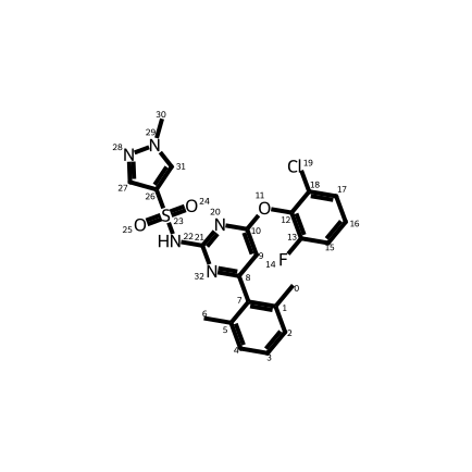 Cc1cccc(C)c1-c1cc(Oc2c(F)cccc2Cl)nc(NS(=O)(=O)c2cnn(C)c2)n1